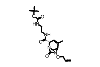 C=CCON1C(=O)N2CC1C(C)=C[C@H]2C(=O)NCCNC(=O)OC(C)(C)C